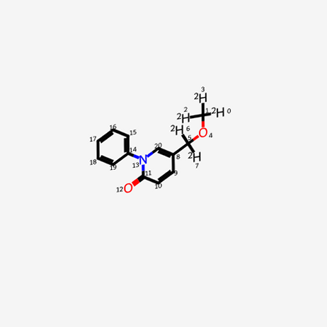 [2H]C([2H])([2H])OC([2H])([2H])c1ccc(=O)n(-c2ccccc2)c1